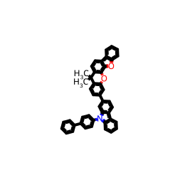 CC1(C)c2ccc(-c3ccc4c5ccccc5n(-c5ccc(-c6ccccc6)cc5)c4c3)cc2Oc2c1ccc1c2oc2ccccc21